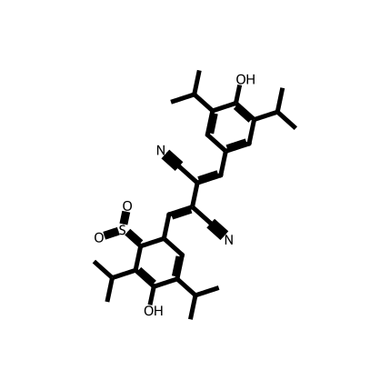 CC(C)C1=CC(C=C(C#N)C(C#N)=Cc2cc(C(C)C)c(O)c(C(C)C)c2)C(=S(=O)=O)C(C(C)C)=C1O